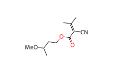 COC(C)CCOC(=O)C(C#N)=C(C)C